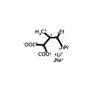 CCCC(CC)C(C)C(C(=O)[O-])C(=O)[O-].[Li+].[Na+]